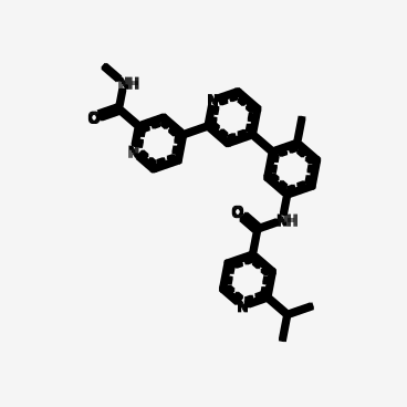 CNC(=O)c1cc(-c2cc(-c3cc(NC(=O)c4ccnc(C(C)C)c4)ccc3C)ccn2)ccn1